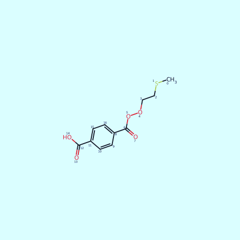 CSCCOOC(=O)c1ccc(C(=O)O)cc1